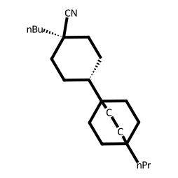 CCCC[C@]1(C#N)CC[C@H](C23CCC(CCC)(CC2)CC3)CC1